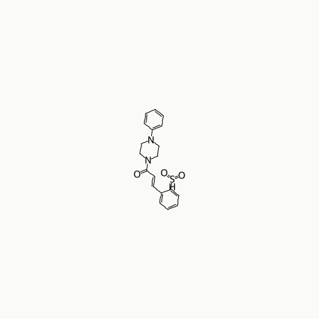 O=C(/C=C/c1ccccc1[SH](=O)=O)N1CCN(c2ccccc2)CC1